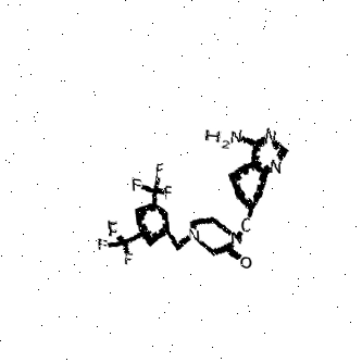 Nc1ncnc2cc(CN3CCN(Cc4cc(C(F)(F)F)cc(C(F)(F)F)c4)CC3=O)ccc12